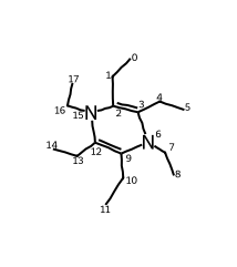 CCC1=C(CC)N(CC)C(CC)=C(CC)N1CC